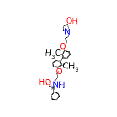 Cc1c(OCCCN[C@H](CO)c2ccccc2)cccc1-c1cccc(OCCCN2CCC(O)C2)c1C